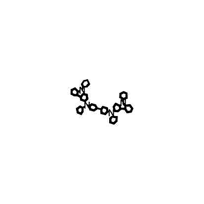 C1=CC(n2c3ccccc3c3cc(N(c4ccccc4)c4ccc(-c5ccc(N(c6ccccc6)c6ccc7c(c6)c6ccccc6n7-c6ccccc6)cc5)cc4)ccc32)=CCC1